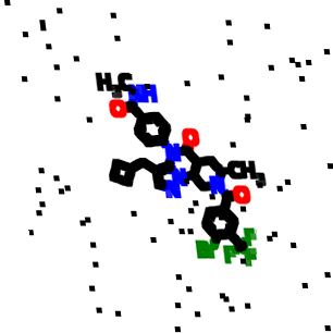 CNC(=O)c1ccc(N2C(=O)C3C[C@@H](C)N(C(=O)c4ccc(Br)c(C(F)(F)F)c4)CC3n3ncc(CC4CCC4)c32)cc1